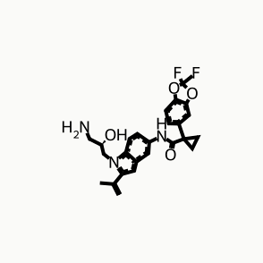 C=C(C)c1cc2cc(NC(=O)C3(c4ccc5c(c4)OC(F)(F)O5)CC3)ccc2n1C[C@@H](O)CN